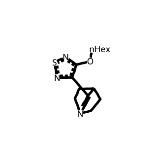 CCCCCCOc1nsnc1C1=CN2CCC1CC2